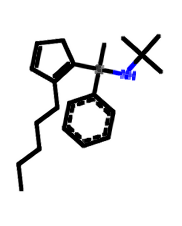 CCCCCC1=C([Si](C)(NC(C)(C)C)c2ccccc2)CC=C1